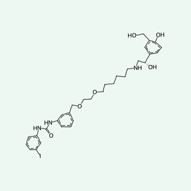 O=C(Nc1cccc(I)c1)Nc1cccc(COCCOCCCCCCNC[C@@H](O)c2ccc(O)c(CO)c2)c1